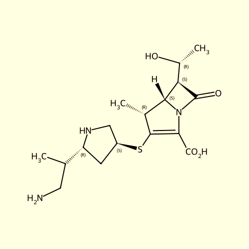 CC(CN)[C@H]1C[C@H](SC2=C(C(=O)O)N3C(=O)[C@H]([C@@H](C)O)[C@H]3[C@H]2C)CN1